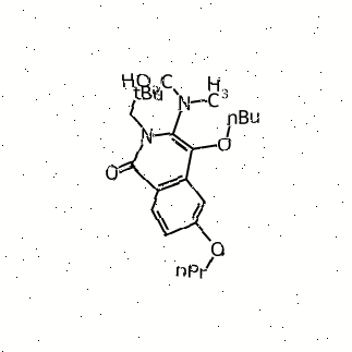 CCCCOc1c(N(C)C(=O)O)n(CC(C)(C)C)c(=O)c2ccc(OCCC)cc12